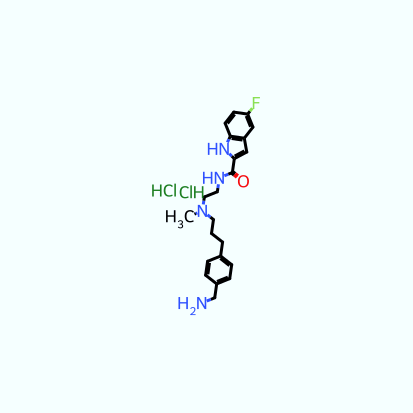 CN(CCCc1ccc(CN)cc1)CCNC(=O)c1cc2cc(F)ccc2[nH]1.Cl.Cl